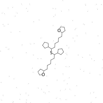 C(CCC1CCCO1)CCC(SC(CCCCCC1CCCO1)C1CCCC1)C1CCCC1